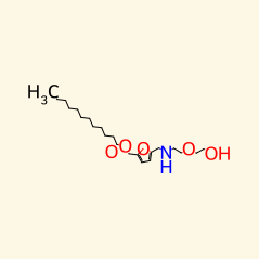 CCCCCCCCCCCC(=O)OCc1ccc(CNCCOCCO)o1